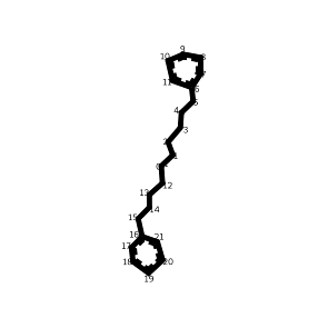 [CH](CCCCCc1ccccc1)CCCCc1ccccc1